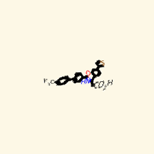 O=C(O)CC(NC(=O)c1ccc(-c2ccc(C(F)(F)F)cc2)cc1)c1ccc(-c2ccsc2)cc1